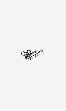 O=S(=O)(N(F)C1(O)CC=CC=C1c1ccccc1)C(F)(F)C(F)(F)C(F)(F)C(F)(F)C(F)(F)C(F)(F)C(F)(F)C(F)(F)F